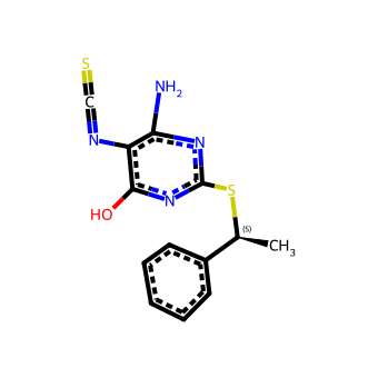 C[C@H](Sc1nc(N)c(N=C=S)c(O)n1)c1ccccc1